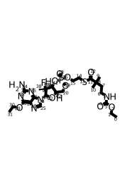 CCOC(=O)NCCC(C)(C)C(=O)SCCOP1(=O)OC[C@H]2O[C@@H](n3cnc4c(OCC)nc(N)nc43)[C@](C)(F)[C@@H]2O1